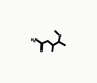 COC(C)C(C)CC(N)=O